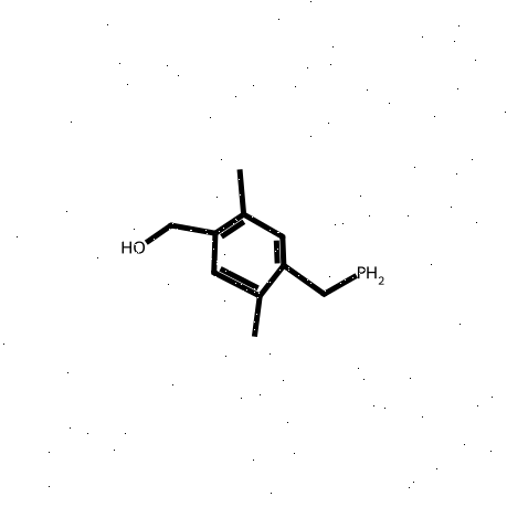 Cc1cc(CP)c(C)cc1CO